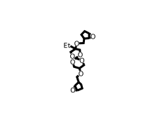 CCC1(OCC2CCC3OC23)COC2(OCC(OCC3CCC4OC34)CO2)OC1